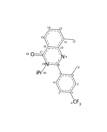 Cc1cc(C(F)(F)F)ccc1-c1nc2c(C)cccc2c(=O)n1C(C)C